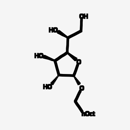 CCCCCCCCCO[C@H]1O[C@H]([C@@H](O)CO)[C@H](O)[C@H]1O